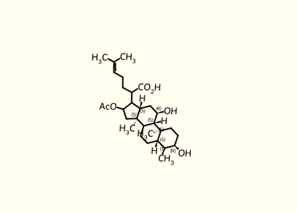 CC(=O)OC1C[C@]2(C)C3CC[C@H]4[C@H](C)[C@H](O)CC[C@]4(C)[C@H]3[C@H](O)C[C@H]2C1C(CCC=C(C)C)C(=O)O